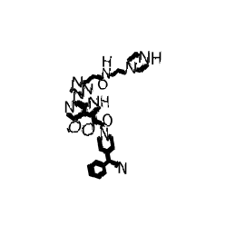 COc1cnc(-n2cnc(CC(=O)NCCCN3CCNCC3)n2)c2[nH]cc(C(=O)C(=O)N3CCC(=C(C#N)c4ccccc4)CC3)c12